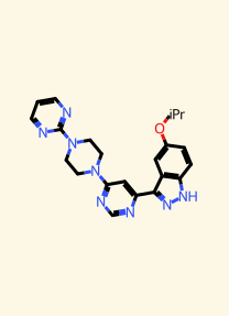 CC(C)Oc1ccc2[nH]nc(-c3cc(N4CCN(c5ncccn5)CC4)ncn3)c2c1